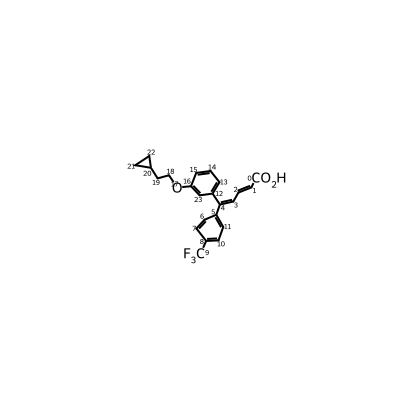 O=C(O)C=CC=C(c1ccc(C(F)(F)F)cc1)c1cccc(OCCC2CC2)c1